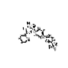 CS(=O)(=NC(=O)c1ccccn1)c1ccc(-c2noc(C(F)(F)F)n2)cc1